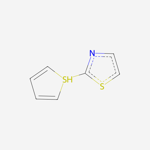 C1=C[SH](c2nccs2)C=C1